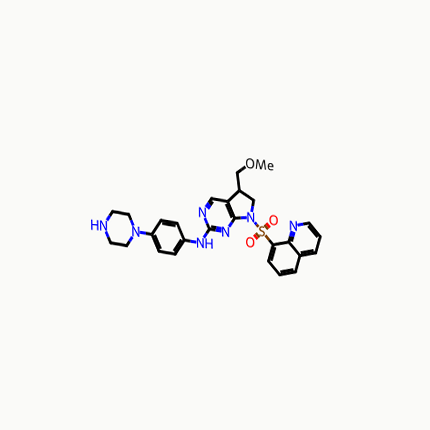 COCC1CN(S(=O)(=O)c2cccc3cccnc23)c2nc(Nc3ccc(N4CCNCC4)cc3)ncc21